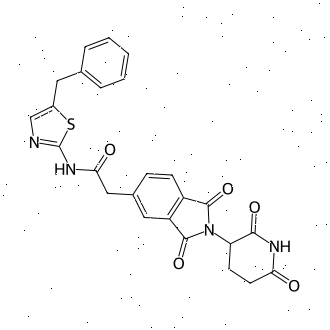 O=C1CCC(N2C(=O)c3ccc(CC(=O)Nc4ncc(Cc5ccccc5)s4)cc3C2=O)C(=O)N1